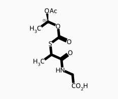 CC(=O)O[C@H](C)OC(=O)SC(C)C(=O)NCC(=O)O